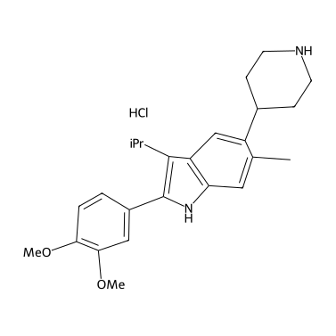 COc1ccc(-c2[nH]c3cc(C)c(C4CCNCC4)cc3c2C(C)C)cc1OC.Cl